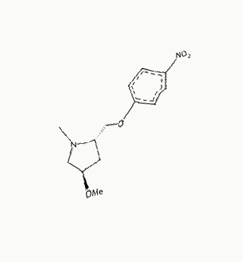 CO[C@@H]1C[C@@H](COc2ccc([N+](=O)[O-])cc2)N(C)C1